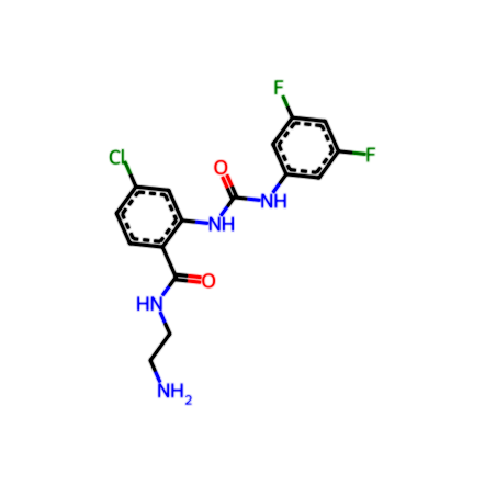 NCCNC(=O)c1ccc(Cl)cc1NC(=O)Nc1cc(F)cc(F)c1